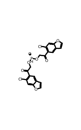 O=C(CO[PH](=O)OCC(=O)c1cc2ccoc2cc1Cl)c1cc2ccoc2cc1Cl